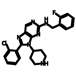 Fc1ccccc1CNc1ncc2nc(-c3ccccc3Cl)n(C3CCNCC3)c2n1